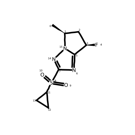 C[C@H]1C[C@@H](F)c2nc(S(=O)(=O)C3CC3)nn21